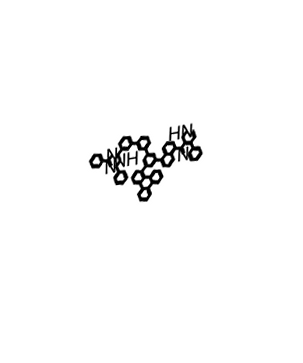 C1=Cc2c(c(-c3cccc4c(-c5cc(-c6cccc(-c7cccc(C8=NC(c9ccccc9)=NC(c9ccccc9)N8)c7)c6)cc(-c6cccc7c8ccccc8c8ccccc8c67)c5)cccc34)nc3ccccc23)CN1